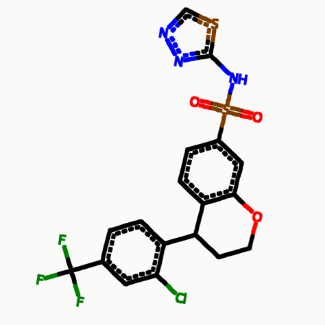 O=S(=O)(Nc1nncs1)c1ccc2c(c1)OCCC2c1ccc(C(F)(F)F)cc1Cl